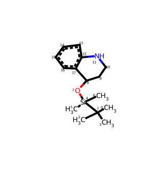 CC(C)(C)[Si](C)(C)OC1CCNc2ccccc21